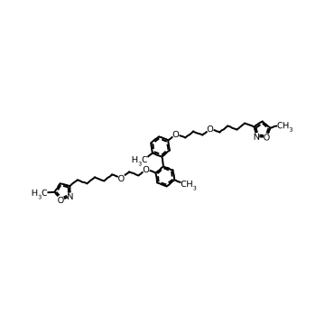 Cc1ccc(OCCOCCCCCc2cc(C)on2)c(-c2cc(OCCCOCCCCc3cc(C)on3)ccc2C)c1